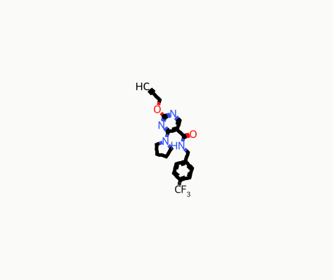 C#CCOc1ncc(C(=O)NCc2ccc(C(F)(F)F)cc2)c(N2CCCC2)n1